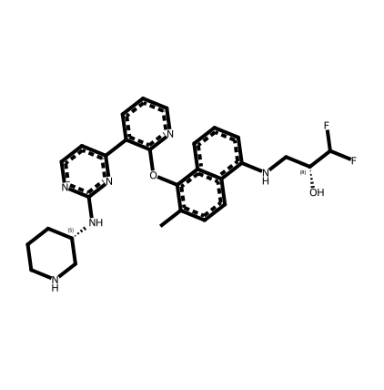 Cc1ccc2c(NC[C@@H](O)C(F)F)cccc2c1Oc1ncccc1-c1ccnc(N[C@H]2CCCNC2)n1